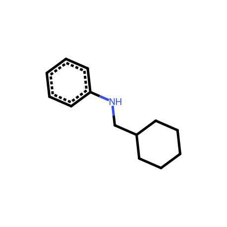 c1ccc(NCC2CCCCC2)cc1